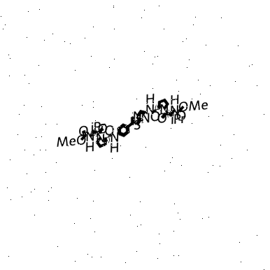 COC(=O)N[C@H](C(=O)N1CCC[C@H]1C(=O)Nc1ccc(-c2cn3cc(NC(=O)[C@@H]4CCCN4C(=O)[C@@H](NC(=O)OC)C(C)C)nc3s2)cc1)C(C)C